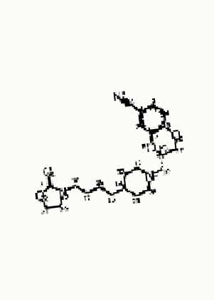 N#Cc1ccc2c(c1)O[C@@H](CN1CCC(CCCCN3CCOC3=O)CC1)CO2